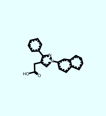 O=C(O)Cc1cn(-c2ccc3ccccc3c2)nc1-c1ccccc1